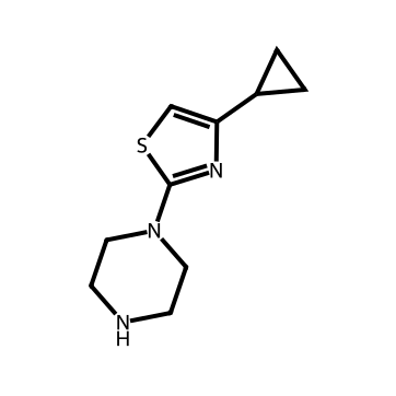 c1sc(N2CCNCC2)nc1C1CC1